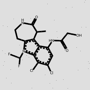 CC1C(=O)NCCc2c1c1c(NC(=O)CO)cc(Cl)c(Cl)c1n2C(F)F